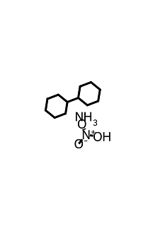 C1CCC(C2CCCCC2)CC1.N.O=[N+]([O-])O